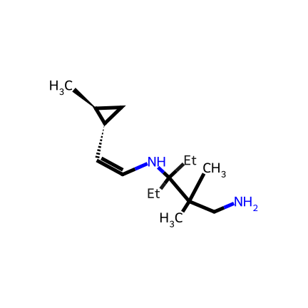 CCC(CC)(N/C=C\[C@H]1C[C@@H]1C)C(C)(C)CN